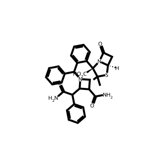 CC1(C)S[C@@H]2CC(=O)N2[C@@]1(C(=O)O)c1ccccc1C(c1ccccc1)N1CC(C(N)=O)C1C(C(N)=O)c1ccccc1